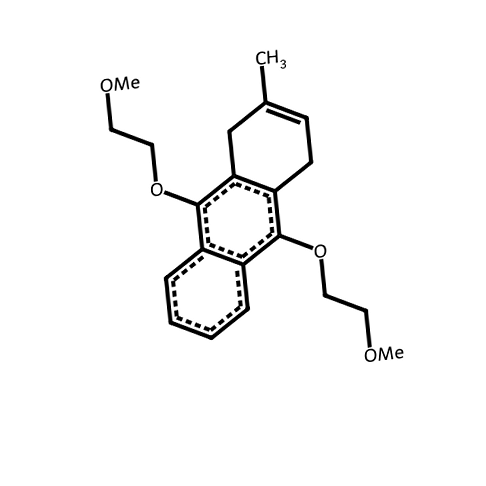 COCCOc1c2c(c(OCCOC)c3ccccc13)CC(C)=CC2